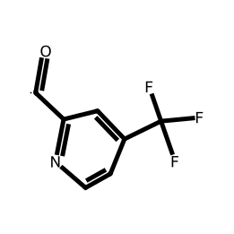 O=[C]c1cc(C(F)(F)F)ccn1